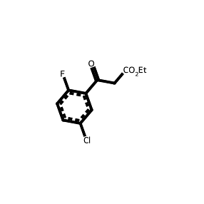 CCOC(=O)CC(=O)c1cc(Cl)ccc1F